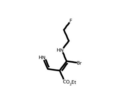 CCOC(=O)/C(C=N)=C(\Br)NCCF